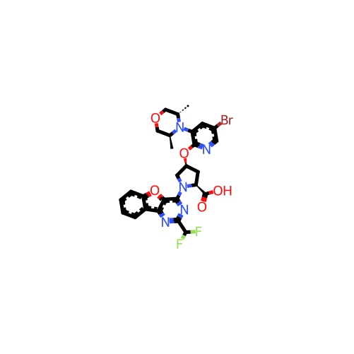 C[C@H]1COC[C@H](C)N1c1cc(Br)cnc1O[C@H]1C[C@@H](C(=O)O)N(c2nc(C(F)F)nc3c2oc2ccccc23)C1